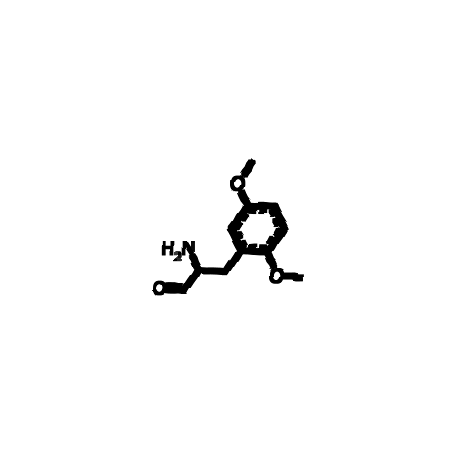 COc1ccc(OC)c(CC(N)C=O)c1